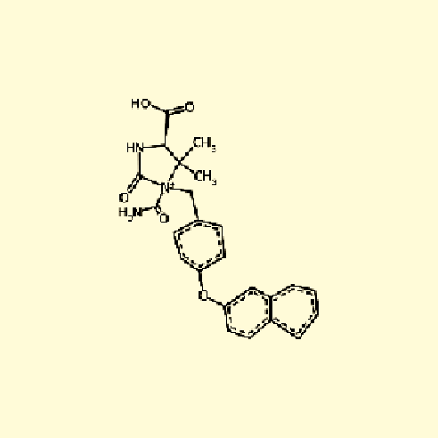 CC1(C)[C@H](C(=O)O)NC(=O)[N+]1(Cc1ccc(Oc2ccc3ccccc3c2)cc1)C(N)=O